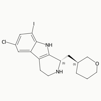 Clc1cc(I)c2[nH]c3c(c2c1)CCN[C@H]3C[C@@H]1CCCOC1